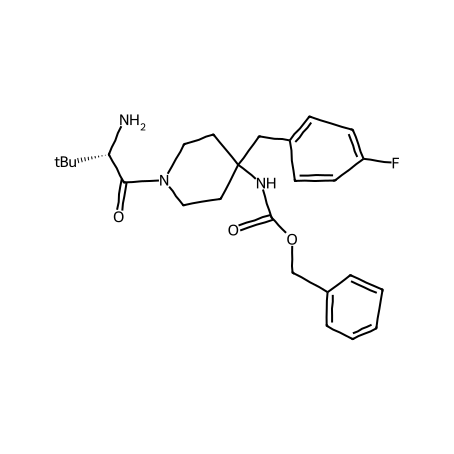 CC(C)(C)[C@H](N)C(=O)N1CCC(Cc2ccc(F)cc2)(NC(=O)OCc2ccccc2)CC1